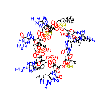 CC[C@H]1O[C@@H](n2cc(C)c(N)nc2=O)C[C@H]1OP(=O)(S)OC[C@H]1O[C@@H](n2cc(C)c(N)nc2=O)C(OCCOC)[C@H]1OP(=O)(O)OC[C@H]1O[C@@H](n2cnc3c(N)ncnc32)C(OCCOC)[C@H]1OP(=O)(O)OC[C@H]1O[C@@H](n2cnc3c(=O)[nH]c(N)nc32)C(OCCOC)[C@H]1OP(=O)(S)OC[C@H]1O[C@@H](n2cnc3c(N)ncnc32)C(OCCOC)[C@H]1OP(=O)(S)OC[C@H]1O[C@@H](n2cnc3c(N)ccnc32)C(OCCOC)[C@H]1O